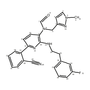 Cn1ccc(CN(C=O)c2ccc(-c3ccccc3C#N)nc2NCCc2cccc(F)c2)n1